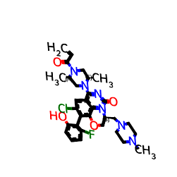 C=CC(=O)N1C[C@H](C)N(c2nc(=O)n3c4c(c(-c5c(O)cccc5F)c(Cl)cc24)OC[C@@H]3CN2CCN(C)CC2)C[C@H]1C